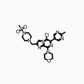 Cc1ncc(-c2nc(N3CCOCC3)c3nc(CN4CCN(S(C)(=O)=O)CC4)cn3c2Cl)cn1